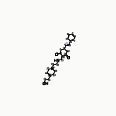 O=C1CC(/C=C/c2ccccc2)CC(=O)C1=CNCCN1CCN(CCO)CC1